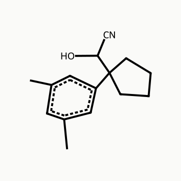 Cc1cc(C)cc(C2(C(O)C#N)CCCC2)c1